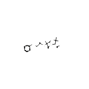 CC1(C)S[C@H]2N(C(=O)C2(C)NC(=O)COc2ccccc2)[C@H]1C(=O)S